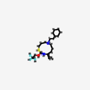 C=C1CCCN(CCC2CCCCC2)CCCS/C(OCC(F)(F)F)=N\1